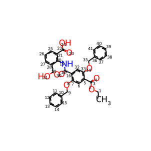 CCOC(=O)c1cc(OCc2ccccc2)c(C(=O)Nc2c(C(=O)O)cccc2C(=O)O)cc1OCc1ccccc1